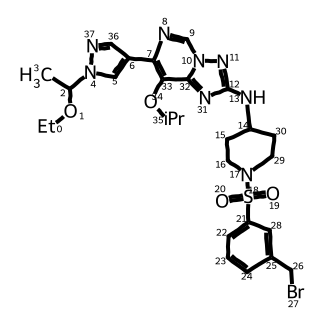 CCOC(C)n1cc(-c2ncn3nc(NC4CCN(S(=O)(=O)c5cccc(CBr)c5)CC4)nc3c2OC(C)C)cn1